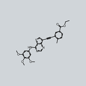 CCOC(=O)c1ccc(C)c(C#Cc2csc3c(Nc4cc(OC)c(OC)c(OC)c4)ncnc23)c1